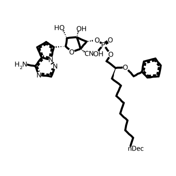 CCCCCCCCCCCCCCCCCC[C@@H](COP(=O)(O)O[C@H]1[C@]2(O)[C@@H](O)[C@@H](c3ccc4c(N)ncnn34)O[C@]12C#N)OCc1ccccc1